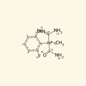 CCc1cccc(F)c1[N+](C)(C(=N)N)C(N)=O